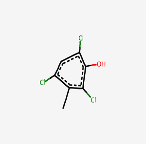 Cc1c(Cl)cc(Cl)c(O)c1Cl